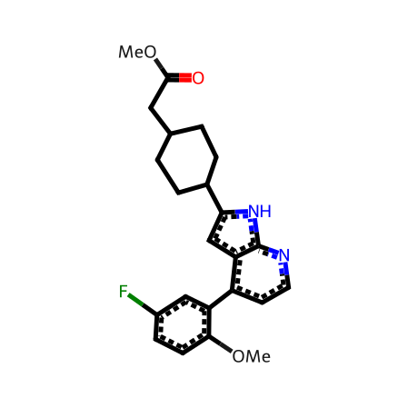 COC(=O)CC1CCC(c2cc3c(-c4cc(F)ccc4OC)ccnc3[nH]2)CC1